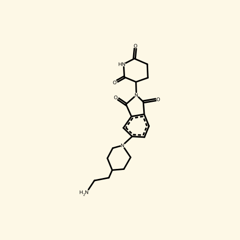 NCCC1CCN(c2ccc3c(c2)C(=O)N(C2CCC(=O)NC2=O)C3=O)CC1